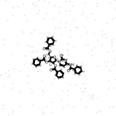 C[C@]1(OC(=O)c2ccccc2)C(OC(=O)c2ccccc2)[C@@H](COC(=O)c2ccccc2)O[C@@H]1n1ccc(NC(=O)c2ccccc2)nc1=O